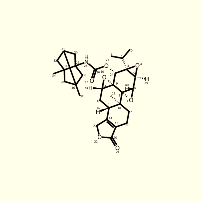 CC(C)[C@]12O[C@H]1[C@@H]1O[C@]13[C@]1(O[C@H]1C[C@H]1C4=C(CC[C@@]13C)C(=O)OC4)[C@@H]2OC(=O)NC12CC3CC1(C)CC3(C)C2